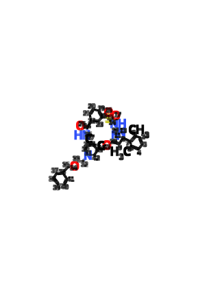 Cc1cccc(C)c1-c1cc2nc(n1)NS(=O)(=O)c1cccc(c1)C(=O)NCC1(CCN(CCOCc3ccccc3)CC1)CO2